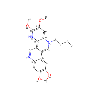 CCCCN1C=c2c(cnc3cc4c(cc23)OCO4)=C2NC(OC)=C(OC)C=C21